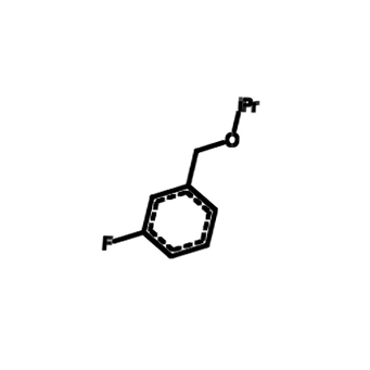 CC(C)OCc1cccc(F)c1